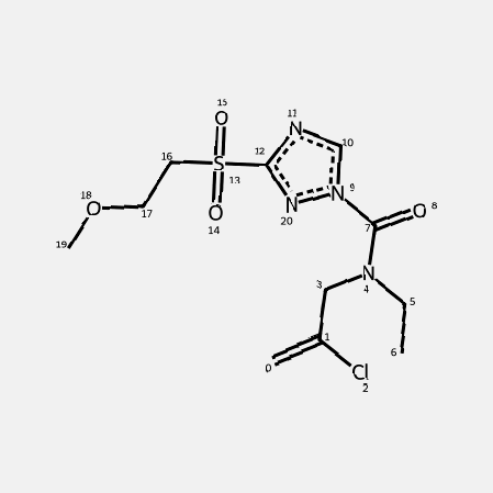 C=C(Cl)CN(CC)C(=O)n1cnc(S(=O)(=O)CCOC)n1